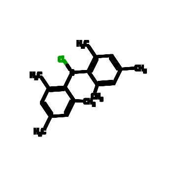 Cc1cc(C)c(B(Cl)c2c(C)cc(C)cc2C)c(C)c1